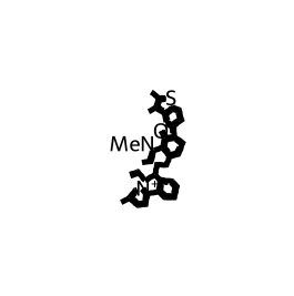 C=CC1C(CCc2ccc3c(oc4c3ccc3sc(C)c(C)c34)c2/C(=C/C)NC)c2ccccc2-c2ccc(C)c[n+]21